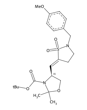 COc1ccc(CN2CCC(=C[C@H]3COC(C)(C)N3C(=O)OC(C)(C)C)S2(=O)=O)cc1